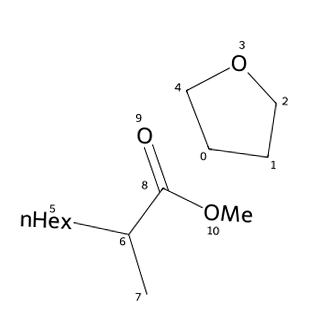 C1CCOC1.CCCCCCC(C)C(=O)OC